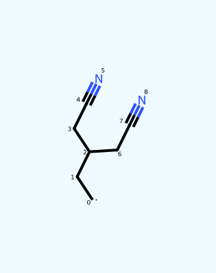 [CH2]CC(CC#N)CC#N